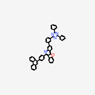 c1ccc(-c2nc(-c3ccccc3)nc(-c3cccc(-c4ccc5c(c4)nc(-c4ccc(-c6cc7ccccc7c7ccccc67)cc4)c4c6ccccc6oc54)c3)n2)cc1